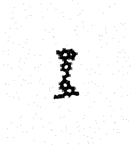 CC(=O)NC1=CC(=O)[N]c2cc(CCN3CCN(c4cc(F)cc5sccc45)CC3)ccc21